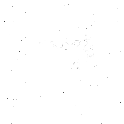 CC1(CO)CCN1Cc1ccc(-n2cnc(-c3nc(NC4CCN(S(C)(=O)=O)CC4)ncc3C(F)(F)F)c2)c(Cl)c1